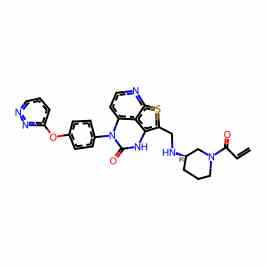 C=CC(=O)N1CCC[C@@H](NCc2sc3nccc4c3c2NC(=O)N4c2ccc(Oc3cccnn3)cc2)C1